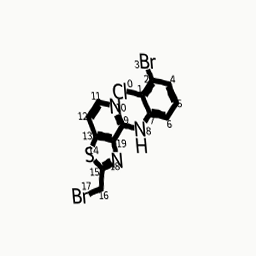 Clc1c(Br)cccc1Nc1nccc2sc(CBr)nc12